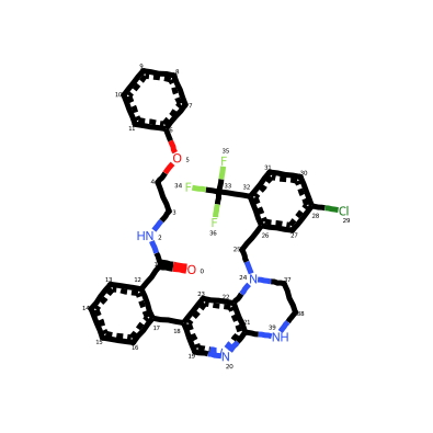 O=C(NCCOc1ccccc1)c1ccccc1-c1cnc2c(c1)N(Cc1cc(Cl)ccc1C(F)(F)F)CCN2